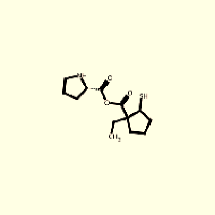 CCC1(C(=O)OC(=O)[C@@H]2CCCN2)CCCC1S